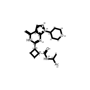 C=C1NC([C@@H]2CC[C@H]2C(=O)NC(C)C(C)=O)=Nc2c1cnn2C1CCOCC1